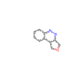 [c]1cccc2nnc3cocc3c12